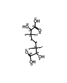 CC(C)(CCC(C)(C)C(O)C(=O)O)C(O)C(=O)O